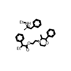 CCC(C(=O)OCCN1CCOC(c2ccccc2)C1C)c1ccccc1.CCN[C@H](C)Cc1ccccc1